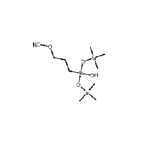 C[Si](C)(C)O[Si](O)(CCCOC#N)O[Si](C)(C)C